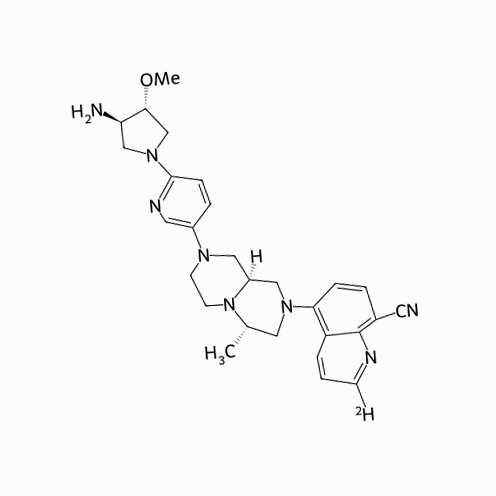 [2H]c1ccc2c(N3C[C@@H]4CN(c5ccc(N6C[C@@H](N)[C@H](OC)C6)nc5)CCN4[C@@H](C)C3)ccc(C#N)c2n1